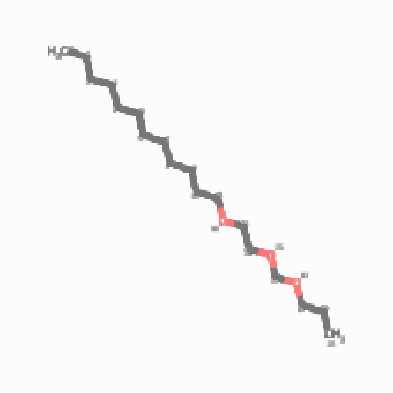 CCCCCCCCCCCCOCCOCOCCC